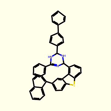 c1ccc(C2=NC(c3cccc4sc5ccc(-c6cccc7ccccc67)cc5c34)NC(c3ccc(-c4ccccc4)cc3)N2)cc1